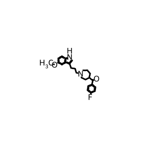 COc1ccc2[nH]cc(CCCN3CCCC(C(=O)c4ccc(F)cc4)CC3)c2c1